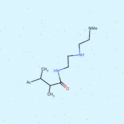 CNCCNCCNC(=O)C(C)C(C)C(C)=O